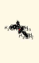 CC1=Cc2c(cc3c(c2-c2ccc(C(C)(C)C)cc2)CCC3)C1[SiH2]C1C(C)=Cc2c1cc1c(c2-c2ccc(C(C)(C)C)cc2)CCC1